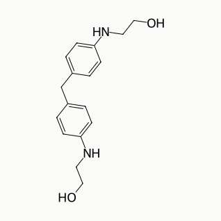 OCCNc1ccc(Cc2ccc(NCCO)cc2)cc1